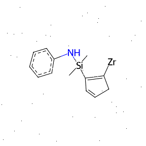 C[Si](C)(Nc1ccccc1)C1=[C]([Zr])CC=C1